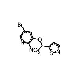 C[C@@H](Oc1cc(Br)cnc1[N+](=O)[O-])c1ccns1